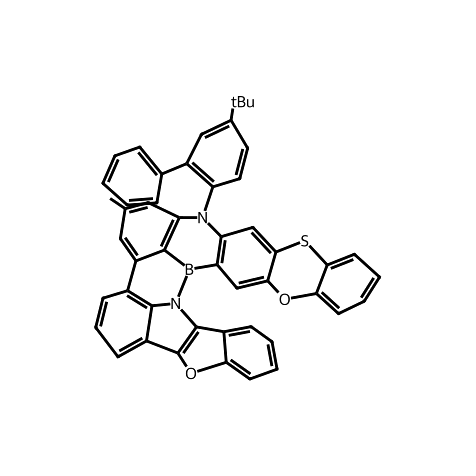 Cc1cc2c3c(c1)N(c1ccc(C(C)(C)C)cc1-c1ccccc1)c1cc4c(cc1B3n1c3c-2cccc3c2oc3ccccc3c21)Oc1ccccc1S4